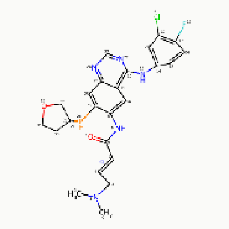 CN(C)C/C=C/C(=O)Nc1cc2c(Nc3ccc(F)c(Cl)c3)ncnc2cc1P[C@H]1CCOC1